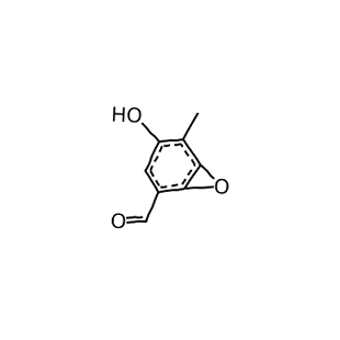 Cc1c(O)cc(C=O)c2c1O2